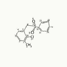 Cc1cccc(CS(=O)(=O)c2ccccc2)c1Cl